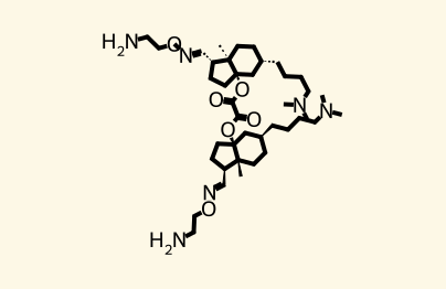 CN(C)CCCC[C@H]1CC[C@]2(C)[C@@H](C=NOCCN)CC[C@]2(OC(=O)C(=O)O[C@]23CC[C@H](C=NOCCN)[C@@]2(C)CC[C@H](CCCCN(C)C)C3)C1